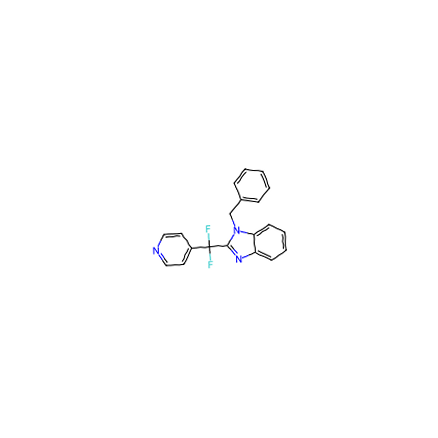 FC(F)(c1ccncc1)c1nc2ccccc2n1Cc1ccccc1